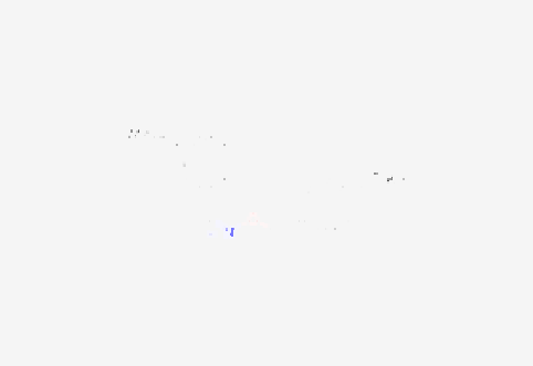 COc1ccc(CO/N=[C]\c2cccc(OC)c2)cc1